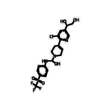 O=S(=O)(c1ccc(NC(O)N2CC=C(c3ncc([C@@H](O)CO)cc3Cl)CC2)cc1)C(F)(F)F